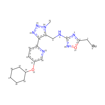 CCC(C)Cc1nc(NCc2c(-c3ccc(OC4CCCCC4)cn3)nnn2C)no1